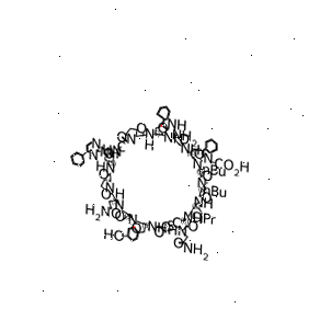 CCCC[C@H]1C(=O)N(C)[C@@H](CCCC)C(=O)N[C@@H](CC(C)C)C(=O)N[C@H](C(=O)NCC(N)=O)CSCC(=O)N[C@@H](Cc2ccc(O)cc2)C(=O)N(C)[C@@H](C)C(=O)N[C@@H](CC(N)=O)C(=O)N2CCCC2C(=O)N[C@@H](CNc2nccc(-c3ccccc3)n2)C(=O)NCC(=O)N2CCCC2C(=O)N[C@@H](Cc2c[nH]c3ccccc23)C(=O)NC(N)C(=O)N[C@@H](Cc2cn(CC(=O)O)c3ccccc23)C(=O)N1C